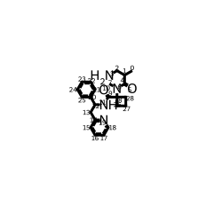 CC(CN)C(=O)N(C)C1(C(=O)NC(Cc2ccccn2)c2ccccc2)CCC1